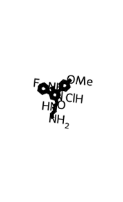 COc1ccc(-c2nc(C(=O)NCCN)cc3c2[nH]c2cc(F)ccc23)cc1.Cl